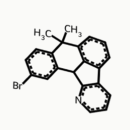 CC1(C)c2ccc(Br)cc2C2c3ncccc3-c3cccc1c32